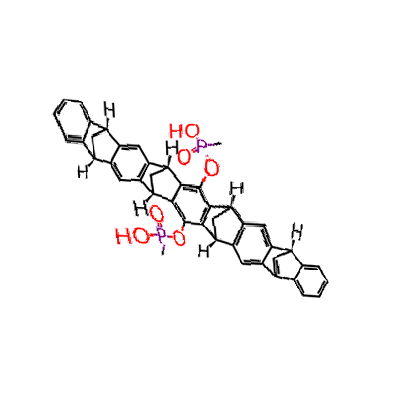 CP(=O)(O)Oc1c2c(c(OP(C)(=O)O)c3c1[C@H]1C[C@@H]3c3cc4c(cc31)[C@H]1C=C4c3ccccc31)[C@H]1C[C@@H]2c2cc3c(cc21)[C@H]1C[C@@H]3c2ccccc21